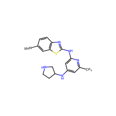 CNc1ccc2nc(Nc3cc(NC4CCNC4)cc(C)n3)sc2c1